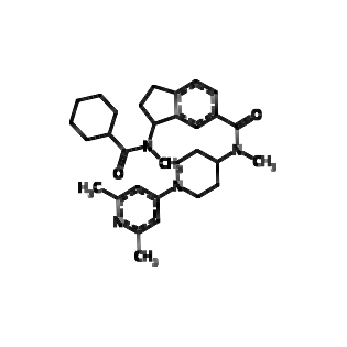 Cc1cc(N2CCC(N(C)C(=O)c3ccc4c(c3)C(N(C)C(=O)C3CCCCC3)CC4)CC2)cc(C)n1